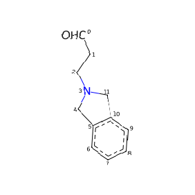 O=CCCN1Cc2ccccc2C1